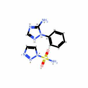 NS(=O)(=O)n1ccnn1.Nc1ncnn1-c1ccccc1